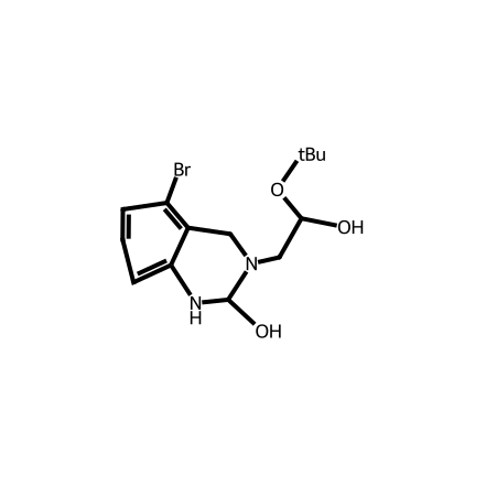 CC(C)(C)OC(O)CN1Cc2c(Br)cccc2NC1O